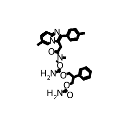 Cc1ccc(-c2nc3ccc(C)cn3c2CC(=O)N(C)C)cc1.NC(=O)OCC(COC(N)=O)c1ccccc1